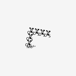 CN(C)C([O-])=S.CN(C)C([O-])=S.CN(C)C([O-])=S.CN(C)C([O-])=S.CN(C)C([O-])=S.CN(C)C([O-])=S.[Mo+6]